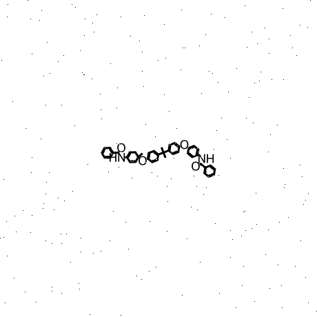 CC1(Oc2ccc(C(C)(C)c3ccc(Oc4ccc(NC(=O)c5ccccc5)cc4)cc3)cc2)C=CC(NC(=O)c2ccccc2)=CC1